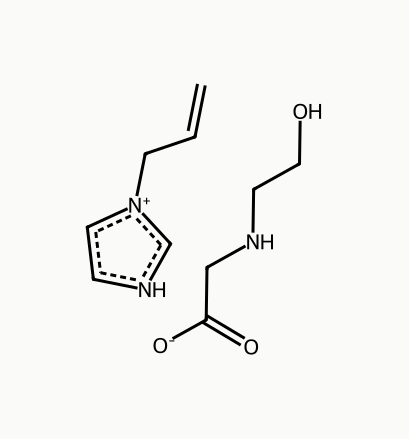 C=CC[n+]1cc[nH]c1.O=C([O-])CNCCO